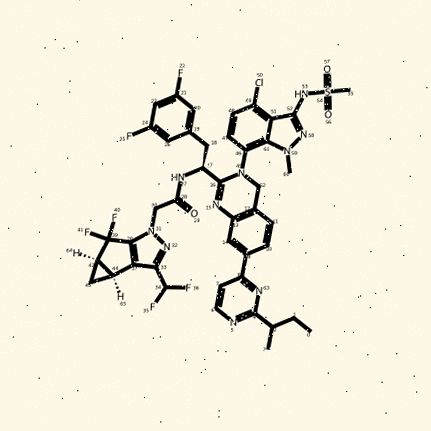 CCC(C)c1nccc(-c2ccc3c(c2)N=C([C@H](Cc2cc(F)cc(F)c2)NC(=O)Cn2nc(C(F)F)c4c2C(F)(F)[C@@H]2C[C@H]42)N(c2ccc(Cl)c4c(NS(C)(=O)=O)nn(C)c24)C3)n1